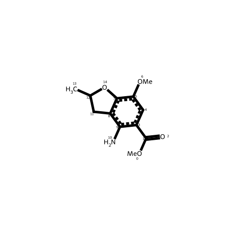 COC(=O)c1cc(OC)c2c(c1N)CC(C)O2